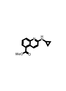 COC(=O)c1cccc2nc(NC3CC3)ccc12